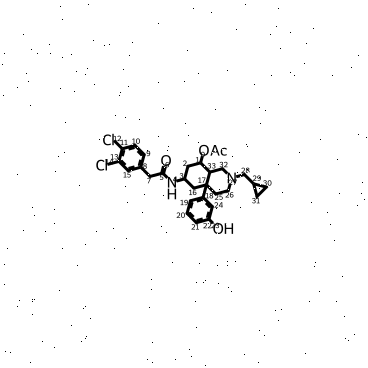 CC(=O)OC1CC(NC(=O)Cc2ccc(Cl)c(Cl)c2)CC2(c3cccc(O)c3)CCN(CC3CC3)CC12